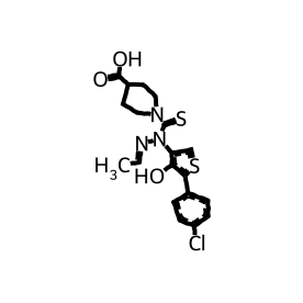 CC=NN(C(=S)N1CCC(C(=O)O)CC1)c1csc(-c2ccc(Cl)cc2)c1O